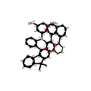 CC(C)(C)c1cc(N(c2ccccc2-c2cccc3c2-c2ccccc2C3(C)C)c2ccccc2-c2cccc3cccc(C4CCCCC4)c23)cc(C(C)(C)C)c1